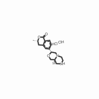 C[C@H]1Cc2cc([C@@H]3CN4CCNC[C@@H]4CO3)ccc2C(=O)O1.Cl.Cl